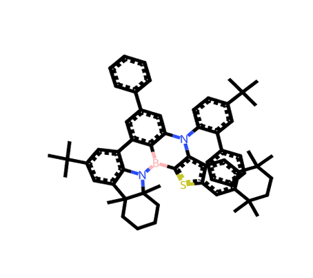 CC(C)(C)c1ccc(N2c3cc(-c4ccccc4)cc4c3B(c3sc5cc6c(cc5c32)C(C)(C)CCC6(C)C)N2c3c-4cc(C(C)(C)C)cc3C3(C)CCCCC23C)c(-c2ccccc2)c1